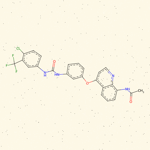 CC(=O)Nc1cccc2c(Oc3cccc(NC(=O)Nc4ccc(Cl)c(C(F)(F)F)c4)c3)ccnc12